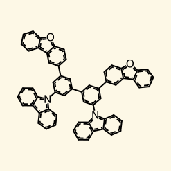 c1ccc2c(c1)oc1ccc(-c3cc(-c4cc(-c5ccc6oc7ccccc7c6c5)cc(-n5c6ccccc6c6ccccc65)c4)cc(-n4c5ccccc5c5ccccc54)c3)cc12